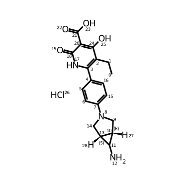 CCc1c(-c2ccc(N3C[C@@H]4C(N)[C@@H]4C3)cc2)[nH]c(=O)c(C(=O)O)c1O.Cl